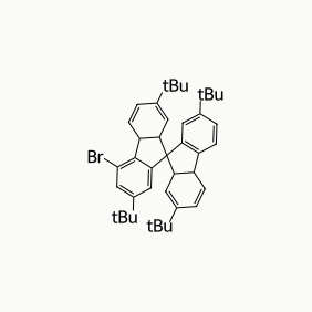 CC(C)(C)C1=CC2C(C=C1)c1ccc(C(C)(C)C)cc1C21c2cc(C(C)(C)C)cc(Br)c2C2C=CC(C(C)(C)C)=CC21